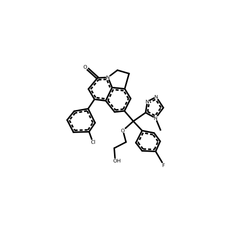 Cn1cnnc1C(OCCO)(c1ccc(F)cc1)c1cc2c3c(c1)c(-c1cccc(Cl)c1)cc(=O)n3CC2